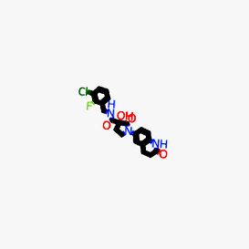 O=C1CCc2cc(N3CC[C@](O)(C(=O)NCc4cccc(Cl)c4F)C3=O)ccc2N1